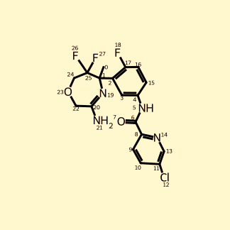 CC1(c2cc(NC(=O)c3ccc(Cl)cn3)ccc2F)N=C(N)COCC1(F)F